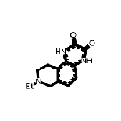 CCN1CCc2c(ccc3[nH]c(=O)c(=O)[nH]c23)C1